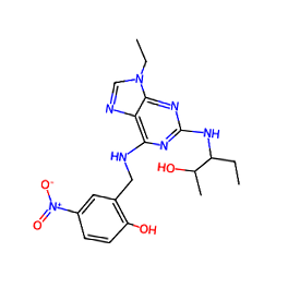 CCC(Nc1nc(NCc2cc([N+](=O)[O-])ccc2O)c2ncn(CC)c2n1)C(C)O